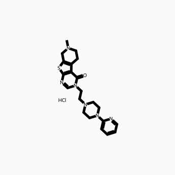 CN1CCc2c(sc3ncn(CCN4CCN(c5ccccn5)CC4)c(=O)c23)C1.Cl